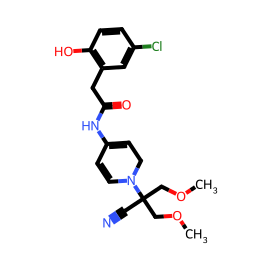 COCC(C#N)(COC)N1C=CC(NC(=O)Cc2cc(Cl)ccc2O)=CC1